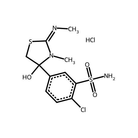 CN=C1SCC(O)(c2ccc(Cl)c(S(N)(=O)=O)c2)N1C.Cl